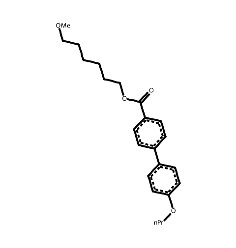 CCCOc1ccc(-c2ccc(C(=O)OCCCCCCOC)cc2)cc1